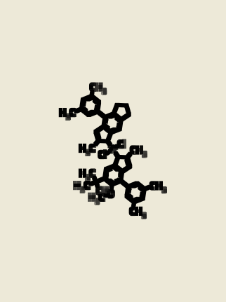 COc1c(C(C)(C)C)cc2c(c1-c1cc(C)cc(C)c1)C=C(C)[CH]2[Zr]([Cl])([Cl])[CH]1C(C)=Cc2c1cc1c(c2-c2cc(C)cc(C)c2)CCC1